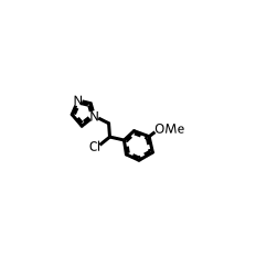 COc1cccc(C(Cl)Cn2ccnc2)c1